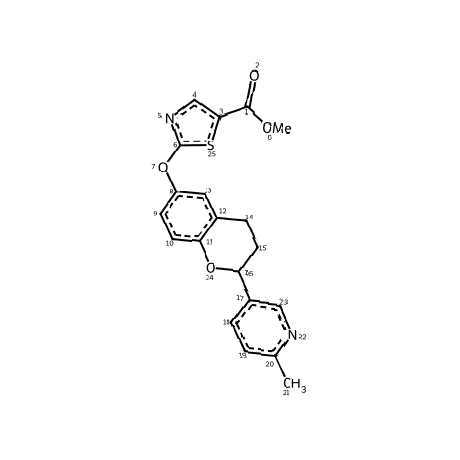 COC(=O)c1cnc(Oc2ccc3c(c2)CCC(c2ccc(C)nc2)O3)s1